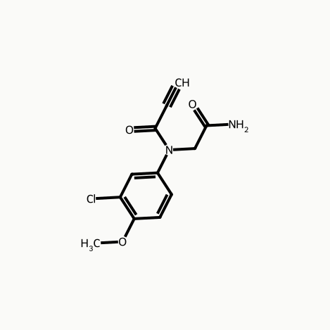 C#CC(=O)N(CC(N)=O)c1ccc(OC)c(Cl)c1